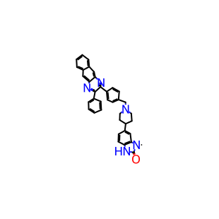 O=C1[N]c2cc(C3CCN(Cc4ccc(-c5nc6cc7ccccc7cc6nc5-c5ccccc5)cc4)CC3)ccc2N1